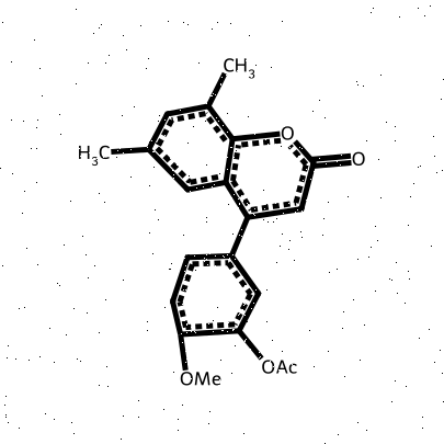 COc1ccc(-c2cc(=O)oc3c(C)cc(C)cc23)cc1OC(C)=O